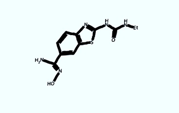 CCNC(=O)Nc1nc2ccc(C(N)=NO)cc2s1